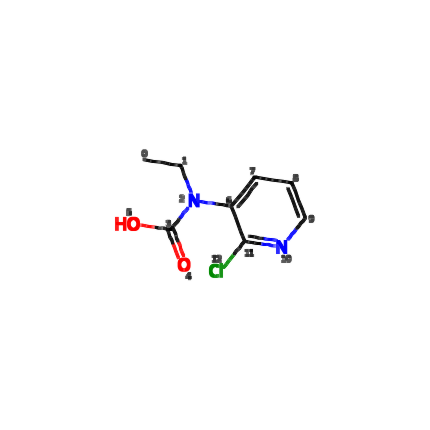 CCN(C(=O)O)c1cccnc1Cl